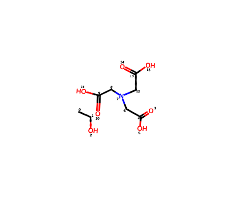 CCO.O=C(O)CN(CC(=O)O)CC(=O)O